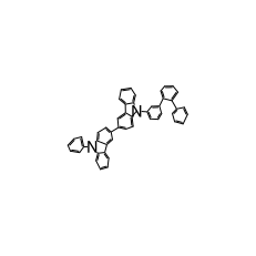 c1ccc(-c2ccccc2-c2cccc(-n3c4ccccc4c4cc(-c5ccc6c(c5)c5ccccc5n6-c5ccccc5)ccc43)c2)cc1